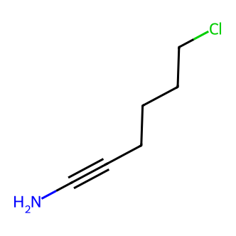 NC#CCCCCCl